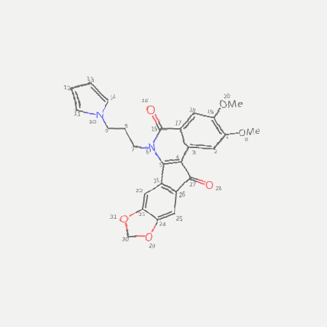 COc1cc2c3c(n(CCCn4cccc4)c(=O)c2cc1OC)-c1cc2c(cc1C3=O)OCO2